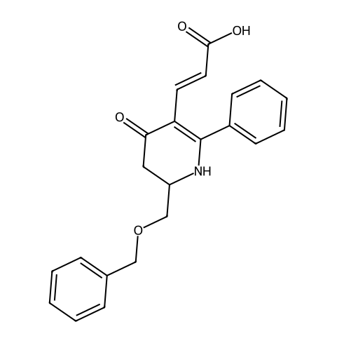 O=C(O)C=CC1=C(c2ccccc2)NC(COCc2ccccc2)CC1=O